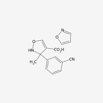 CC1(c2cccc(C#N)c2)NOC=C1C(=O)O.c1cnoc1